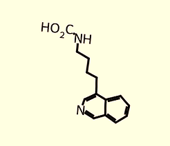 O=C(O)NCCCCc1cncc2ccccc12